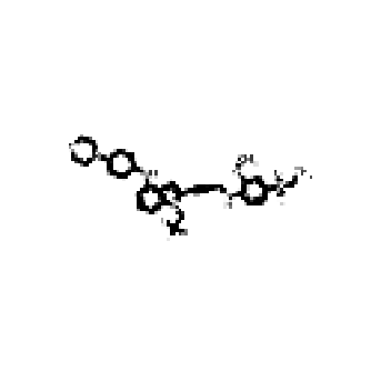 CCS(=O)(=O)c1ccc(NCC#Cc2cc3c(NC4CCC(N5CCOCC5)CC4)cccc3n2CC(F)(F)F)c(OC)c1